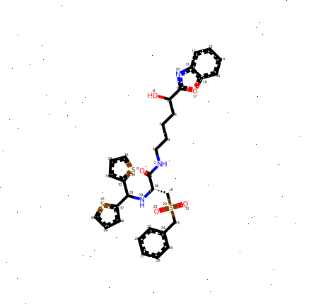 O=C(NCCCCC(O)c1nc2ccccc2o1)[C@H](CS(=O)(=O)Cc1ccccc1)NC(c1cccs1)c1cccs1